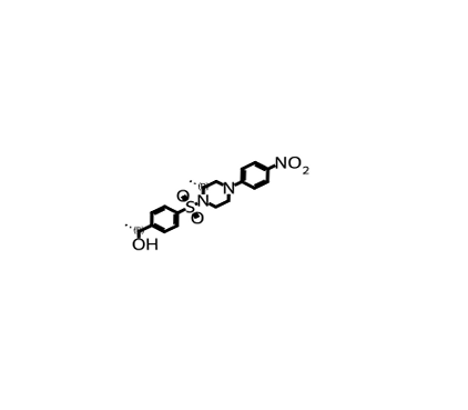 C[C@@H]1CN(c2ccc([N+](=O)[O-])cc2)CCN1S(=O)(=O)c1ccc([C@@H](C)O)cc1